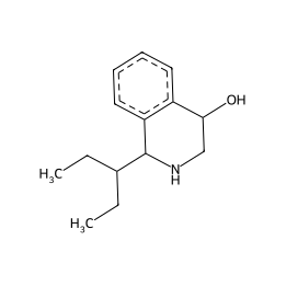 CCC(CC)C1NCC(O)c2ccccc21